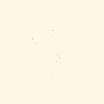 CCCOC(=O)C1CC(CCCOC=O)C(CCCOC=O)CC1C(=O)OCCC